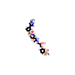 CCCn1cc(-c2cccc(S(=O)(=O)N3CCC4(CC3)CC(NCC(O)COc3cccc(S(C)(=O)=O)c3)CO4)c2)cn1